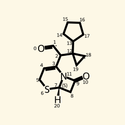 O=[C]C(C1=CCS[C@H]2CC(=O)N12)C1(C2CCCC2)[CH]C1